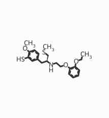 CCOc1ccccc1OCCN[C@H](CSC)Cc1ccc(OC)c(S)c1